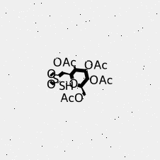 CC(=O)OC[C@H]1O[C@@H](CS(=O)(=O)S)[C@@H](OC(C)=O)[C@@H](OC(C)=O)[C@@H]1OC(C)=O